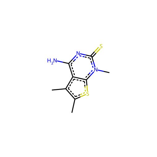 Cc1sc2c(c(N)nc(=S)n2C)c1C